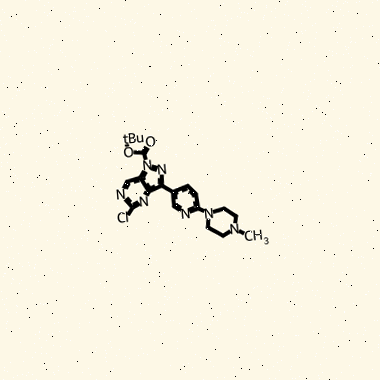 CN1CCN(c2ccc(-c3nn(C(=O)OC(C)(C)C)c4cnc(Cl)nc34)cn2)CC1